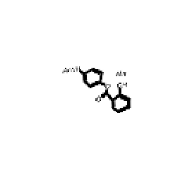 CC(=O)Nc1ccc(OC(=O)c2ccccc2O)cc1.[Mn]